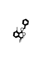 O=C(OCc1ccccc1)c1c(I)cccc1C(F)F